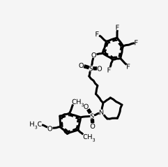 COc1cc(C)c(S(=O)(=O)N2CCCCC2CCCS(=O)(=O)Oc2c(F)c(F)c(F)c(F)c2F)c(C)c1